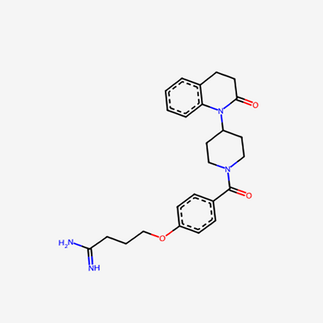 N=C(N)CCCOc1ccc(C(=O)N2CCC(N3C(=O)CCc4ccccc43)CC2)cc1